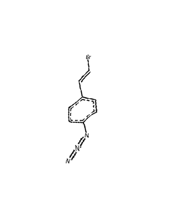 [N-]=[N+]=Nc1ccc(C=CBr)cc1